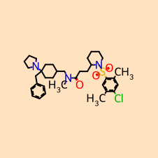 Cc1cc(S(=O)(=O)N2CCCCC2CCC(=O)N(C)CC2CCC(Cc3ccccc3)(N3CCCC3)CC2)c(C)cc1Cl